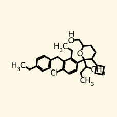 CCc1ccc(Cc2c(Cl)ccc(C3(C(C)CC)OC(CO)CCC3C3CCC3)c2CC)cc1